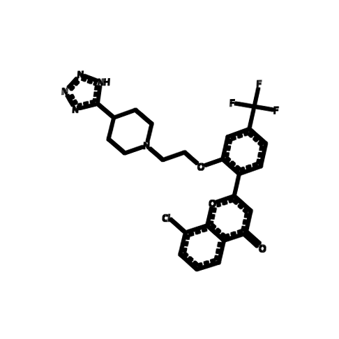 O=c1cc(-c2ccc(C(F)(F)F)cc2OCCN2CCC(c3nnn[nH]3)CC2)oc2c(Cl)cccc12